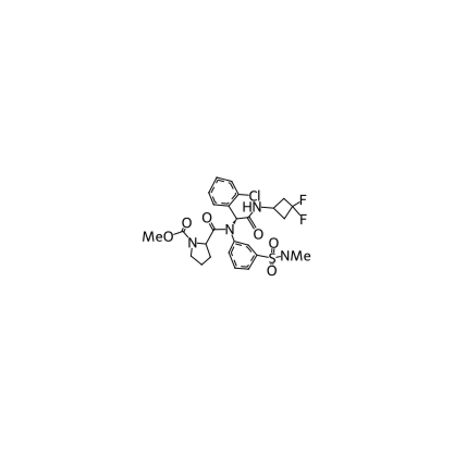 CNS(=O)(=O)c1cccc(N(C(=O)C2CCCN2C(=O)OC)[C@H](C(=O)NC2CC(F)(F)C2)c2ccccc2Cl)c1